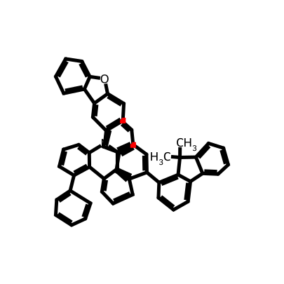 CC1(C)c2ccccc2-c2cccc(-c3ccc(N(c4ccc5oc6ccccc6c5c4)c4cccc(-c5ccccc5)c4-c4ccccc4-c4ccccc4)cc3)c21